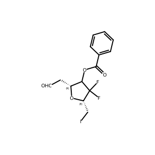 O=CC[C@H]1O[C@@H](CI)C(F)(F)C1OC(=O)c1ccccc1